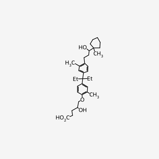 CCC(CC)(c1ccc(CCC(O)C2(C)CCCCC2)c(C)c1)c1ccc(OCC(O)CCC(=O)O)c(C)c1